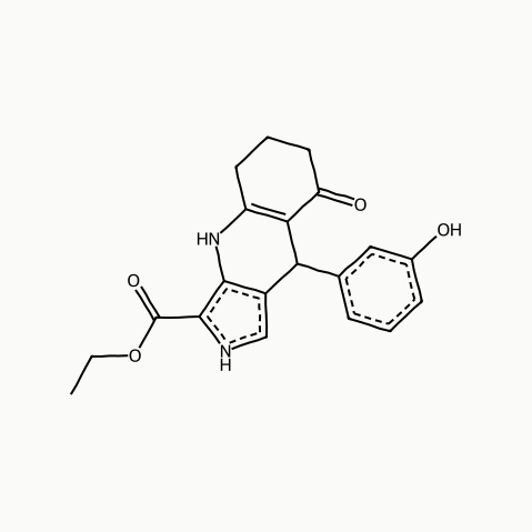 CCOC(=O)c1[nH]cc2c1NC1=C(C(=O)CCC1)C2c1cccc(O)c1